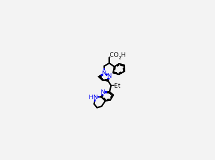 CCC(c1ccc2c(n1)NCCC2)c1ccn(CC(CC(=O)O)c2ccccc2)n1